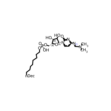 CCCCCCCCCCCCCCCCCCOP(=O)(O)OC[C@H]1O[C@@H](n2ccc(/N=C/N(C)C)nc2=O)C(O)[C@H]1O